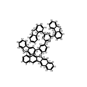 c1ccc2cc3c(cc2c1)c1cc2ccccc2cc1n3-c1ccc(-c2nc(-c3cccc4sc5ccccc5c34)nc(-c3cccc4sc5ccccc5c34)n2)cc1-c1ccc2sc3ccccc3c2c1